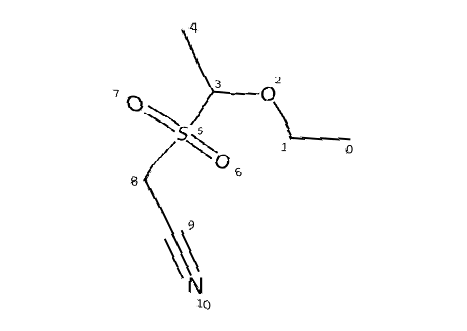 CCOC(C)S(=O)(=O)CC#N